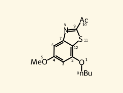 CCCCOc1cc(OC)cc2nc(C(C)=O)sc12